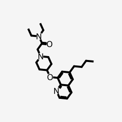 CCCCc1cc(OC2CCN(CC(=O)N(CC)CC)CC2)c2ncccc2c1